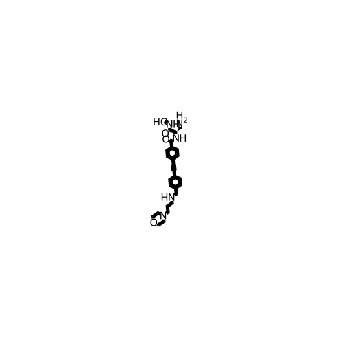 NC[C@H](NC(=O)c1ccc(C#Cc2ccc(CNCCCN3CCOCC3)cc2)cc1)C(=O)NO